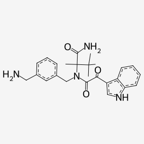 CC(C)(C)C(C)(C(N)=O)N(Cc1cccc(CN)c1)C(=O)C(=O)c1c[nH]c2ccccc12